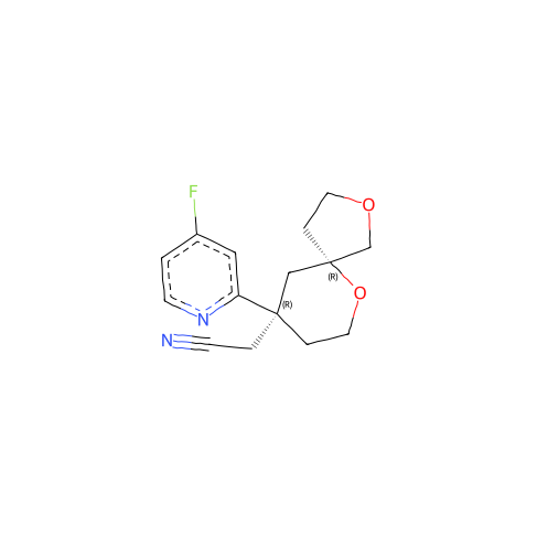 N#CC[C@@]1(c2cc(F)ccn2)CCO[C@@]2(CCOC2)C1